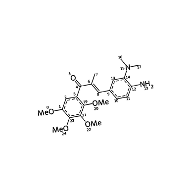 COc1cc(C(=O)C(C)=Cc2ccc(N)c(N(C)C)c2)c(OC)c(OC)c1OC